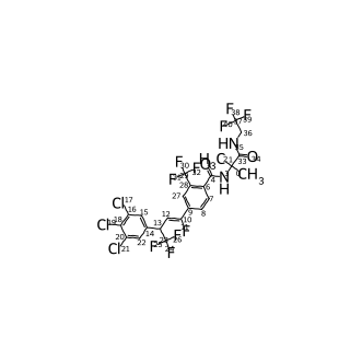 CC(C)(NC(=O)c1ccc(C(F)=CC(c2cc(Cl)c(Cl)c(Cl)c2)C(F)(F)F)cc1C(F)(F)F)C(=O)NCC(F)(F)F